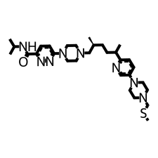 CSCN1CCN(c2ccc(C(C)CC[C@H](C)CN3CCN(c4ccc(C(=O)NC(C)C)nn4)CC3)nc2)CC1